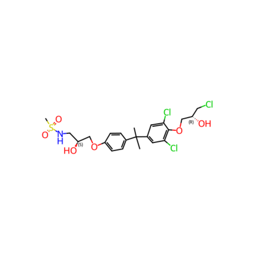 CC(C)(c1ccc(OC[C@@H](O)CNS(C)(=O)=O)cc1)c1cc(Cl)c(OC[C@@H](O)CCl)c(Cl)c1